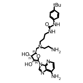 CC(C)(C)c1ccc(NC(=O)NCCCN(CCN)C[C@H]2O[C@@H](n3cnc4c(N)ccnc43)[C@H](O)[C@@H]2O)cc1